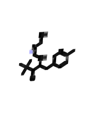 Cc1ccc(CC(N/C=N\C=N)C(=O)C(C)(C)C)cn1